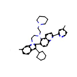 Cc1ccnc(-c2ccc3c4c(ccc3n2)-c2c(C3CCCCC3)c3ccc(C(=O)O)cc3n2CCN4CCN2CCCCC2)c1